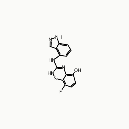 Oc1ccc(F)c2c1N=C(Nc1cccc3[nH]ncc13)NS2